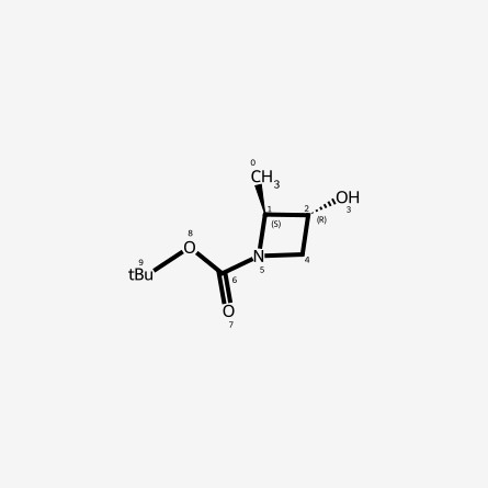 C[C@H]1[C@H](O)CN1C(=O)OC(C)(C)C